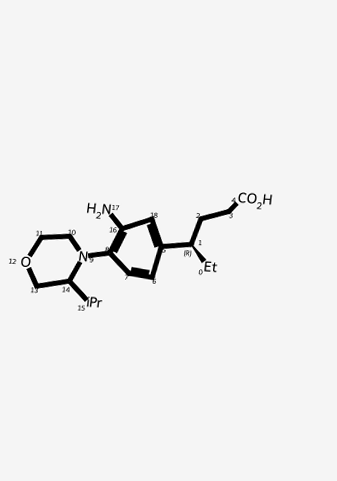 CC[C@H](CCC(=O)O)c1ccc(N2CCOCC2C(C)C)c(N)c1